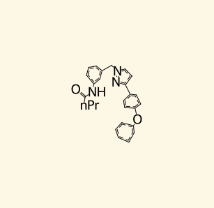 CCCC(=O)Nc1cccc(Cn2ccc(-c3ccc(Oc4ccccc4)cc3)n2)c1